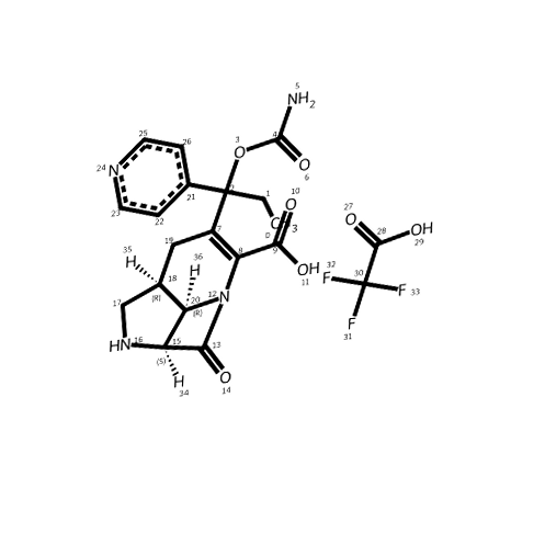 CCC(OC(N)=O)(C1=C(C(=O)O)N2C(=O)[C@H]3NC[C@@H](C1)[C@H]32)c1ccncc1.O=C(O)C(F)(F)F